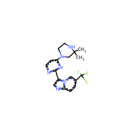 CC1(C)CN(c2ccnc(-c3cnc4ccc(C(F)(F)F)cn34)n2)CCN1